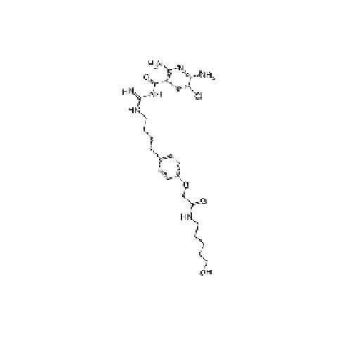 N=C(NCCCCc1ccc(OCC(=O)NCCCCCO)cc1)NC(=O)c1nc(Cl)c(N)nc1N